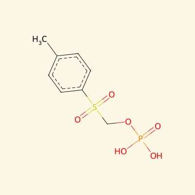 Cc1ccc(S(=O)(=O)COP(=O)(O)O)cc1